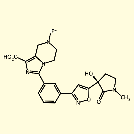 CC(C)N1CCn2c(-c3cccc(-c4cc([C@]5(O)CCN(C)C5=O)on4)c3)nc(C(=O)O)c2C1